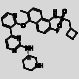 Cc1ccc2c(NS(=O)(=O)CC3CCC3)c(F)ccc2c1Oc1ncccc1-c1ccnc(N[C@H]2CCCNC2)n1